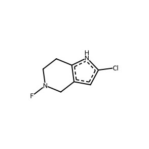 FN1CCc2[nH]c(Cl)cc2C1